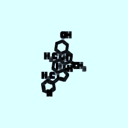 C[C@@H]1C=C2C[C@@H](O)CC[C@]2(C)[C@H]2CC[C@]3(C)C(c4cccnc4)=CC[C@H]3[C@H]12